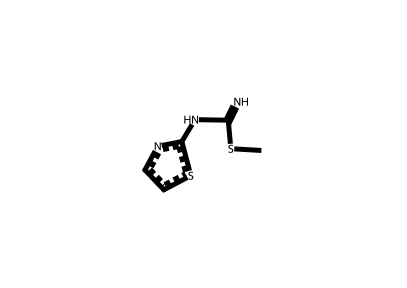 CSC(=N)Nc1nccs1